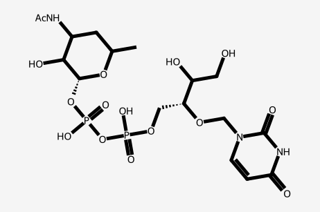 CC(=O)NC1CC(C)O[C@H](OP(=O)(O)OP(=O)(O)OC[C@@H](OCn2ccc(=O)[nH]c2=O)C(O)CO)C1O